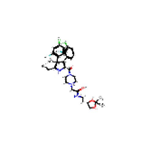 CC(C)(C)C[C@@H]1N[C@@H](C(=O)N2CCN(CC(=O)NCC[C@H]3COC(C)(C)O3)CC2)[C@H](c2cccc(Cl)c2F)[C@@]1(C#N)c1ccc(Cl)cc1F